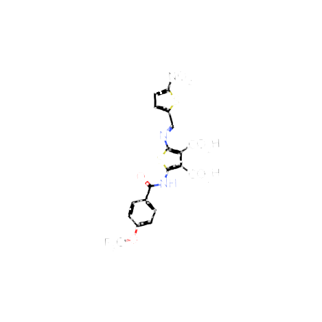 O=C(Nc1sc(N=Cc2ccc([N+](=O)[O-])s2)c(C(=O)O)c1C(=O)O)c1ccc(OC(F)(F)F)cc1